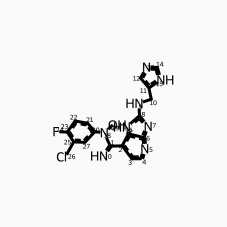 N=C(c1ccnc2nc(NCc3cnc[nH]3)[nH]c12)N(O)c1ccc(F)c(Cl)c1